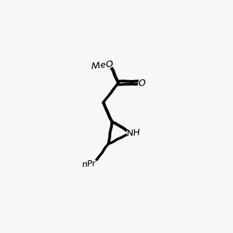 CCCC1NC1CC(=O)OC